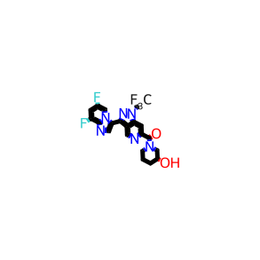 O=C(c1cc2c(cn1)c(-c1cnc3c(F)cc(F)cn13)nn2CC(F)(F)F)N1CCCC(O)C1